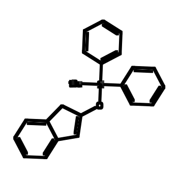 CC(C)(C)[Si](OC1=Cc2ccccc2C1)(c1ccccc1)c1ccccc1